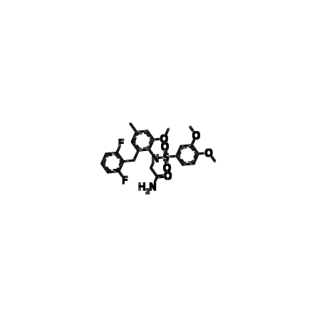 COc1ccc(S(=O)(=O)N(CC(N)=O)c2c(Cc3c(F)cccc3F)cc(C)cc2OC)cc1OC